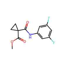 COC(=O)C1(C(=O)Nc2cc(F)cc(F)c2)CC1